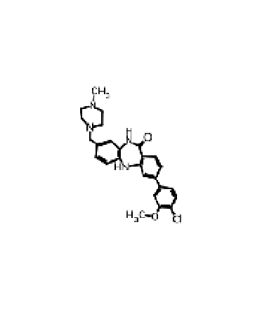 COc1cc(-c2ccc3c(c2)Nc2ccc(CN4CCN(C)CC4)cc2NC3=O)ccc1Cl